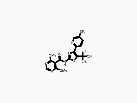 COc1ncnc(OC)c1C(=O)Nc1nc(-c2ccc(C(F)(F)F)cn2)c(C(C)(C)O)s1